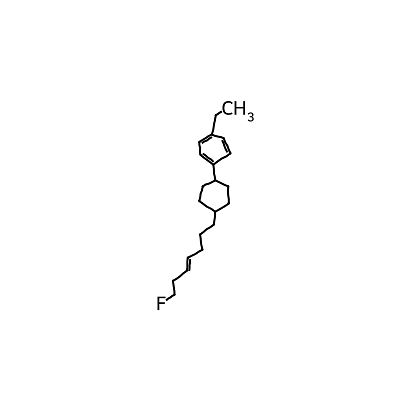 CCc1ccc(C2CCC(CCC/C=C/CCF)CC2)cc1